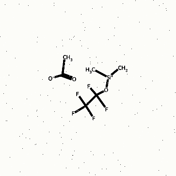 CC(=O)[O-].C[Si+](C)OC(F)(F)C(F)(F)F